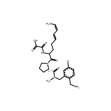 C/C=C\C=C\CCC(NC(=O)C(=O)O)C(=O)N1CCC[C@H]1C(=O)N(C)Cc1cc(Cl)ccc1CN